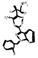 CC(F)(C(N)=O)c1nnc(-c2nn(Cc3ccccc3F)c3ncccc23)nc1N